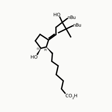 CCCCC(C)(C)C(O)(CC=C1CC[C@H](O)[C@@H]1CCCCCCC(=O)O)CCCC